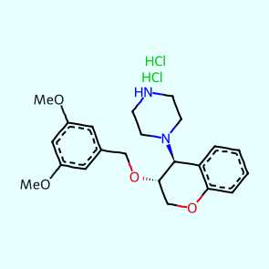 COc1cc(CO[C@H]2COc3ccccc3[C@@H]2N2CCNCC2)cc(OC)c1.Cl.Cl